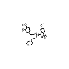 COc1ccc2c(c1)C(N(CCN1CCOCC1)N=Cc1ccc(O)c(OC)c1)=NS2(=O)=O